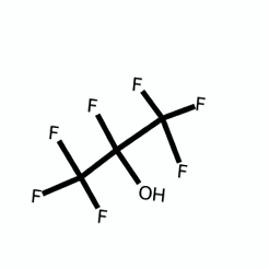 OC(F)(C(F)(F)F)C(F)(F)F